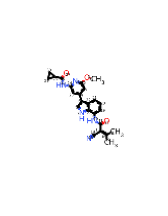 COc1cc(-c2c[nH]c3c(NC(=O)C(C#N)=C(C)C)cccc23)cc(NC(=O)C2CC2)n1